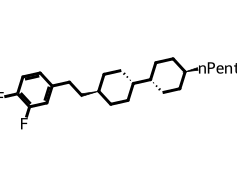 CCCCC[C@H]1CC[C@H]([C@H]2CC[C@H](CCc3ccc(F)c(F)c3)CC2)CC1